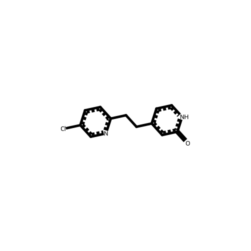 O=c1cc(CCc2ccc(Cl)cn2)cc[nH]1